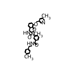 Cc1ccc(CCNC(=O)c2cccc(N3C(=O)NC4CC3(C)Oc3c(OCc5cncc(C)c5)cccc34)c2)cc1